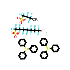 O=S(=O)([O-])C(F)(F)C(F)(F)C(F)(F)C(F)(F)C(F)(F)C(F)(F)C(F)(F)C(F)(F)F.O=S(=O)([O-])C(F)(F)C(F)(F)C(F)(F)C(F)(F)F.c1ccc([S+](c2ccccc2)c2ccccc2)cc1.c1ccc([S+](c2ccccc2)c2ccccc2)cc1